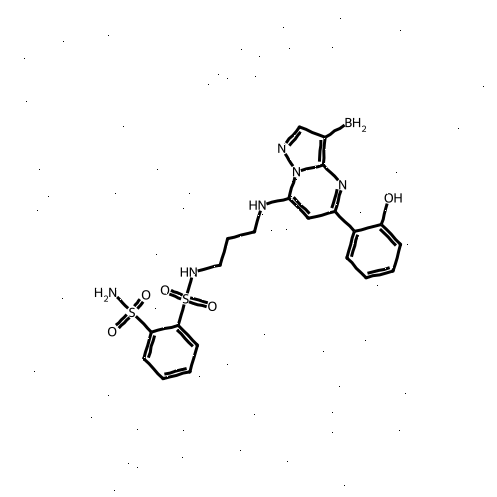 Bc1cnn2c(NCCCNS(=O)(=O)c3ccccc3S(N)(=O)=O)cc(-c3ccccc3O)nc12